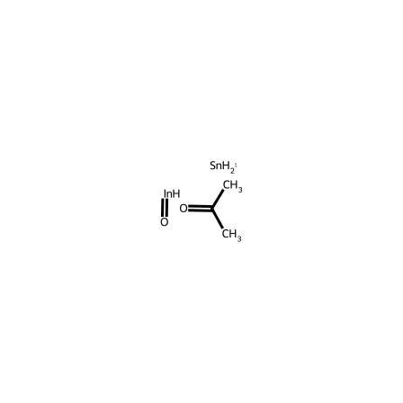 CC(C)=O.[O]=[InH].[SnH2]